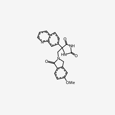 COc1ccc2c(c1)CN(CC1(c3ccc4cccnc4c3)NC(=O)NC1=O)C2=O